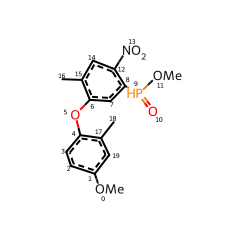 COc1ccc(Oc2cc([PH](=O)OC)c([N+](=O)[O-])cc2C)c(C)c1